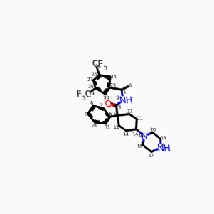 CC(NC(=O)C1(c2ccccc2)CCC(N2CCNCC2)CC1)c1cc(C(F)(F)F)cc(C(F)(F)F)c1